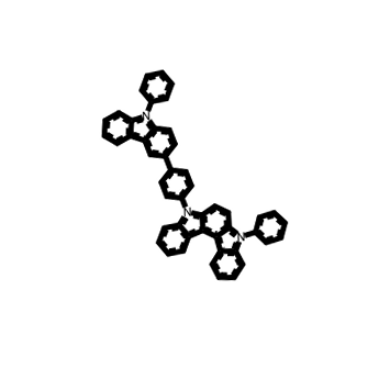 c1ccc(-n2c3ccccc3c3cc(-c4ccc(-n5c6ccccc6c6c7c8ccccc8n(-c8ccccc8)c7ccc65)cc4)ccc32)cc1